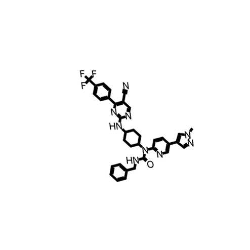 Cn1cc(-c2ccc(N(C(=O)NCc3ccccc3)C3CCC(Nc4ncc(C#N)c(-c5ccc(C(F)(F)F)cc5)n4)CC3)nc2)cn1